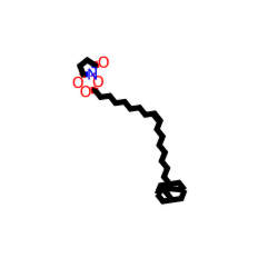 O=C(CCCCCCC/C=C\CCCCCCCC12CC3CC(CC(C3)C1)C2)ON1C(=O)CCC1=O